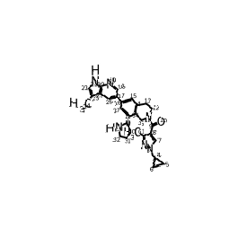 Cc1nn(C2CC2)cc1C(=O)N1CCc2cc(-c3cnc4[nH]cc(C)c4c3)cc([C@@H]3CCCN3)c2C1